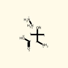 CC(C)(O)CN.NN.O=CO